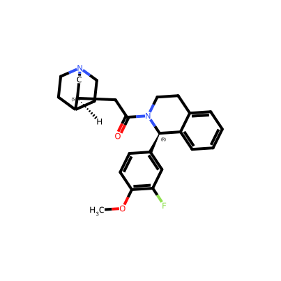 COc1ccc([C@@H]2c3ccccc3CCN2C(=O)C[C@@H]2CN3CCC2CC3)cc1F